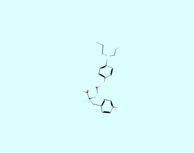 COC(=O)[C@@](N)(Cc1ccc(O)cc1)NC(=O)Oc1ccc(N(CCCl)CCCl)cc1